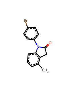 Cc1cccc2c1CC(=O)N2c1ccc(Br)cc1